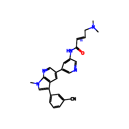 CN(C)C/C=C/C(=O)Nc1cncc(-c2cnc3c(c2)c(-c2cccc(C#N)c2)cn3C)c1